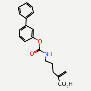 C=C(CCCNC(=O)Oc1cccc(-c2ccccc2)c1)C(=O)O